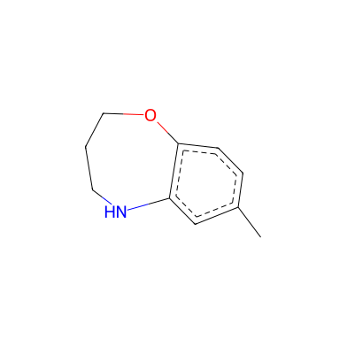 Cc1ccc2c(c1)NCCCO2